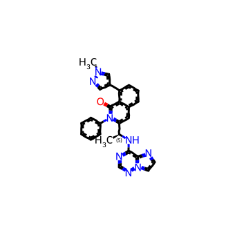 C[C@H](Nc1ncnn2ccnc12)c1cc2cccc(-c3cnn(C)c3)c2c(=O)n1-c1ccccc1